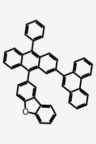 c1ccc(-c2c3ccccc3c(-c3ccc4oc5ccccc5c4c3)c3cc(-c4cc5ccccc5c5ccccc45)ccc23)cc1